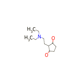 CCN(CC)CCC1C(=O)CCC1=O